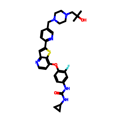 CC(C)(O)CN1CCN(Cc2ccc(-c3cc4nccc(Oc5ccc(NC(=O)NC6CC6)cc5F)c4s3)nc2)CC1